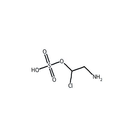 NCC(Cl)OS(=O)(=O)O